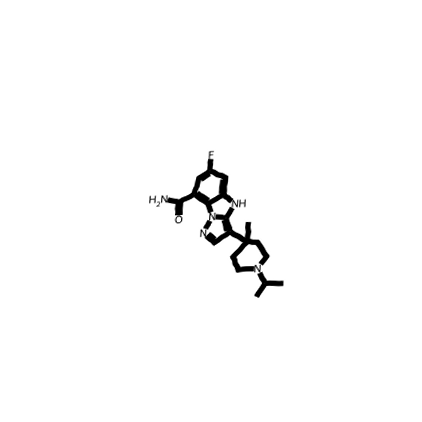 CC(C)N1CCC(C)(c2cnn3c2[nH]c2cc(F)cc(C(N)=O)c23)CC1